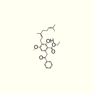 CCOC(=O)c1c(CC(=O)c2ccccc2)cc(OC)c(C/C=C(\C)CCC=C(C)C)c1O